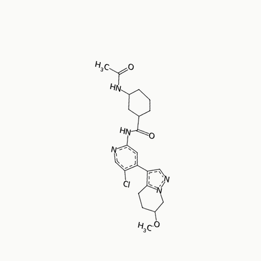 COC1CCc2c(-c3cc(NC(=O)C4CCCC(NC(C)=O)C4)ncc3Cl)cnn2C1